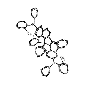 Cc1ccccc1N(c1ccccc1)c1ccc2c3c(ccc2c1)-c1c(c2ccc(N(c4ccccc4)c4ccccc4C)cc2c2ccccc12)C3(c1ccccc1)c1ccccc1